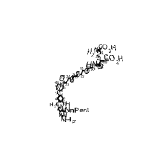 CCCCCNc1nc(N)nc2ccn(Cc3ccc(CN4CCN(C(=O)CCOCCOCCOCCNC(=O)C(CC(=O)O)SC[C@H](N)C(=O)O)CC4)cc3C)c12